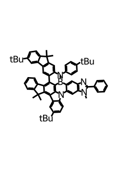 Cn1c(-c2ccccc2)nc2cc3c(cc21)-n1c2ccc(C(C)(C)C)cc2c2c4c(c5c(c21)B3N(c1ccc(C(C)(C)C)cc1)c1cc2c(cc1-5)-c1cc(C(C)(C)C)ccc1C2(C)C)-c1ccccc1C4(C)C